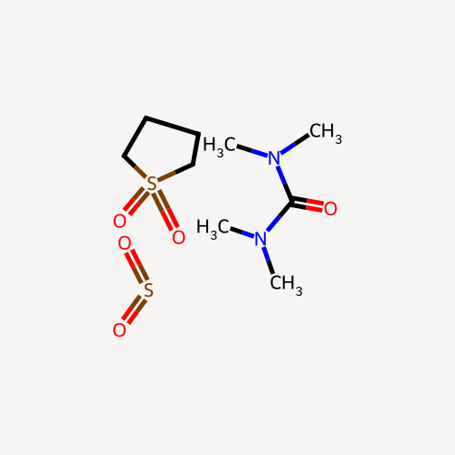 CN(C)C(=O)N(C)C.O=S1(=O)CCCC1.O=S=O